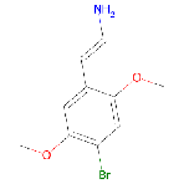 COc1cc(/C=C/N)c(OC)cc1Br